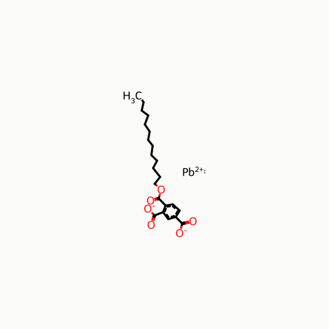 CCCCCCCCCCCCCOC(=O)c1ccc(C(=O)[O-])cc1C(=O)[O-].[Pb+2]